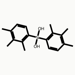 Cc1ccc([Si](O)(O)c2ccc(C)c(C)c2C)c(C)c1C